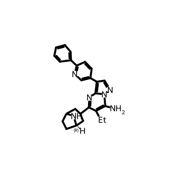 CCc1c(C2CC3CC[C@H](C2)N3)nc2c(-c3ccc(-c4ccccc4)nc3)cnn2c1N